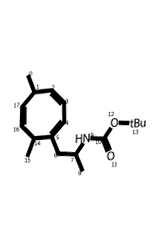 CC1/C=C\C=C(\CC(C)NC(=O)OC(C)(C)C)C(C)/C=C\1